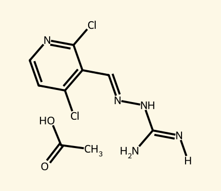 CC(=O)O.[H]/N=C(\N)NN=Cc1c(Cl)ccnc1Cl